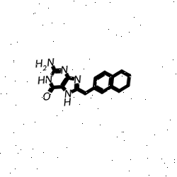 Nc1nc2nc(Cc3ccc4c(c3)CCCC4)[nH]c2c(=O)[nH]1